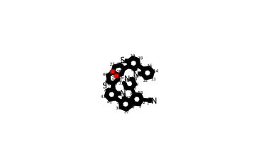 N#Cc1cccc(-c2cc(-n3c4ccccc4c4ccc5sc6ccccc6c5c43)ncc2-n2c3ccccc3c3ccc4sc5ccccc5c4c32)c1